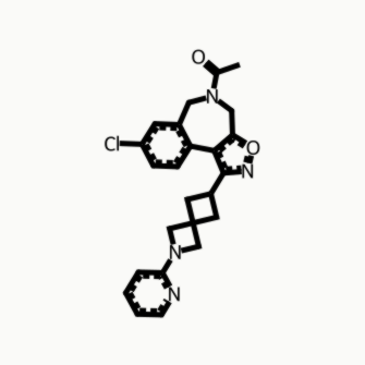 CC(=O)N1Cc2cc(Cl)ccc2-c2c(C3CC4(C3)CN(c3ccccn3)C4)noc2C1